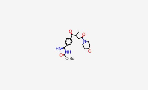 CC(C)COC(=O)NC(=N)c1ccc(C(=O)C(C)CC(=O)N2CCC([O])CC2)cc1